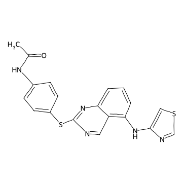 CC(=O)Nc1ccc(Sc2ncc3c(Nc4cscn4)cccc3n2)cc1